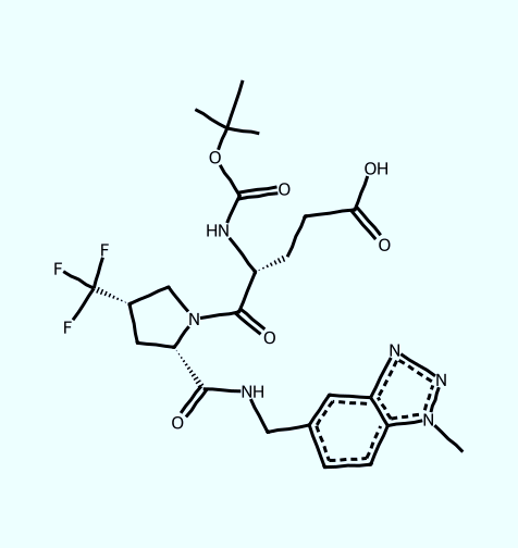 Cn1nnc2cc(CNC(=O)[C@@H]3C[C@H](C(F)(F)F)CN3C(=O)[C@@H](CCC(=O)O)NC(=O)OC(C)(C)C)ccc21